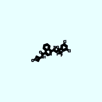 O=C(NC1C[S+]([O-])C1)c1cnc(C2=NOC(c3cc(Cl)cc(Cl)c3)(C(F)(F)F)C2)c2ccccc12